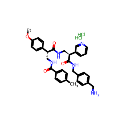 CCOc1ccc([C@@H](CNC(=O)c2ccc(C)cc2)C(=O)NC[C@H](C(=O)NCc2ccc(CN)cc2)c2cccnc2)cc1.Cl.Cl